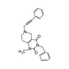 Cn1c2c(c(=O)n(Cc3ccccc3)c1=O)CN(CC#Cc1ccccc1)CC2